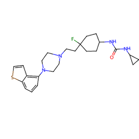 O=C(NC1CC1)NC1CCC(F)(CCN2CCN(c3cccc4sccc34)CC2)CC1